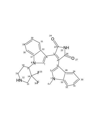 Cn1cc(C2=C(c3cn(C4CCNCC4(F)F)c4ccccc34)C(=O)NC2=O)c2ccccc21